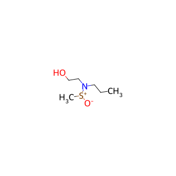 CCCN(CCO)[S+](C)[O-]